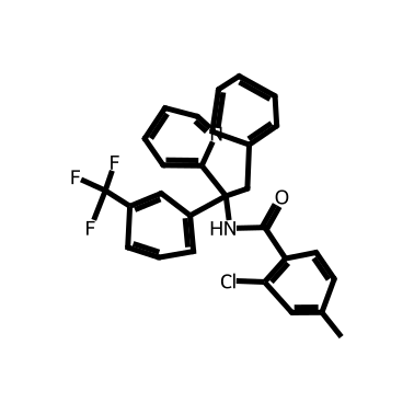 Cc1ccc(C(=O)NC(Cc2ccccc2)(c2cccc(C(F)(F)F)c2)c2ccccn2)c(Cl)c1